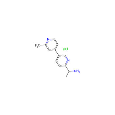 CC(N)c1ccc(-c2ccnc(C(F)(F)F)c2)cn1.Cl